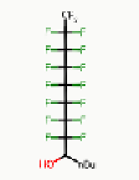 CCCCC(O)C(F)(F)C(F)(F)C(F)(F)C(F)(F)C(F)(F)C(F)(F)C(F)(F)C(F)(F)F